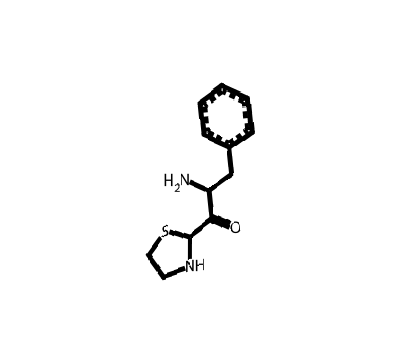 NC(Cc1ccccc1)C(=O)C1NCCS1